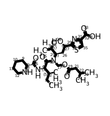 CC[C@H](C)[C@H](NC(=O)[C@H]1CCCCN1)C(=O)N(COC(=O)CC(C)C)[C@H](C[C@@H](O)c1nc(C(=O)O)cs1)C(C)C